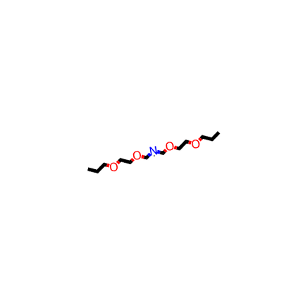 CCCOCCOC[N]COCCOCCC